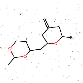 C=C1CC(CC)OC(CC2CCOC(C)O2)C1